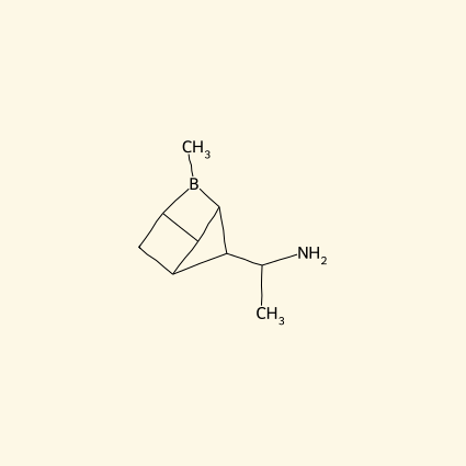 CB1C2CC3C(C(C)N)C1C23